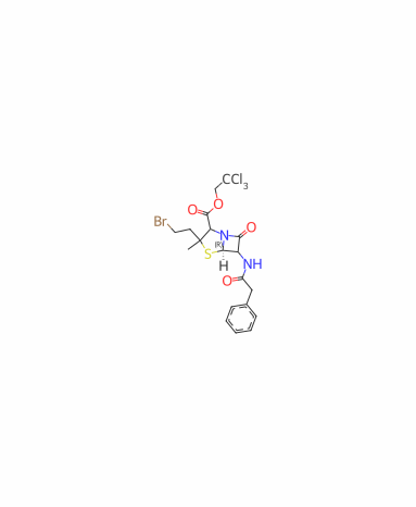 CC1(CCBr)S[C@@H]2C(NC(=O)Cc3ccccc3)C(=O)N2C1C(=O)OCC(Cl)(Cl)Cl